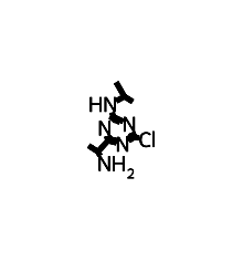 CC(C)Nc1nc(Cl)nc(C(C)N)n1